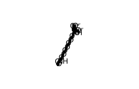 CC(C)(C)OC(=O)NCCOCCOCCOCCOCCOCCOCCOCCNc1ccc([N+](=O)[O-])cc1[N+](=O)[O-]